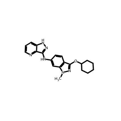 Cn1nc(OC2CCCCC2)c2ccc(Nc3n[nH]c4cccnc34)cc21